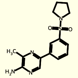 Cc1nc(-c2cccc(S(=O)(=O)N3CCCC3)c2)cnc1N